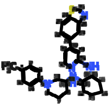 FC(F)(F)c1ccc(N2CCC[C@H](N[C@@H]3CCCC[C@H]3Nc3cc(-c4ccc5scnc5c4)ccn3)C2)cc1